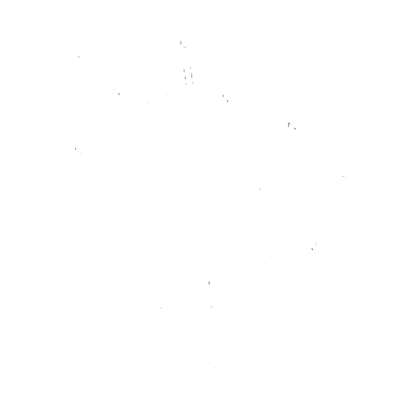 CS(=O)(=O)c1ccc(NC(=O)c2ccccc2N2CCN(C(=O)Cn3ccc4cccnc43)CC2)cc1